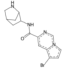 O=C(NC1CC2CNC1C2)c1cc2c(Br)ccn2cn1